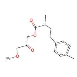 Cc1ccc(CCC(C)C(=O)OCC(=O)COC(C)C)cc1